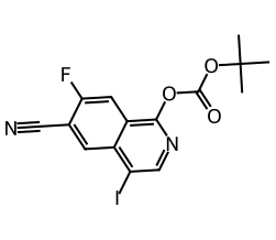 CC(C)(C)OC(=O)Oc1ncc(I)c2cc(C#N)c(F)cc12